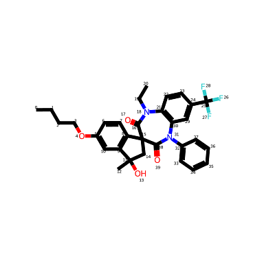 CCCCOc1ccc2c(c1)C(C)(O)CC21C(=O)N(CC)c2ccc(C(F)(F)F)cc2N(c2ccccc2)C1=O